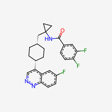 O=C(NC1(C[C@H]2CC[C@@H](c3cnnc4ccc(F)cc43)CC2)CC1)c1ccc(F)c(F)c1